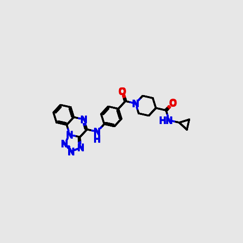 O=C(NC1CC1)C1CCN(C(=O)c2ccc(Nc3nc4ccccc4n4nnnc34)cc2)CC1